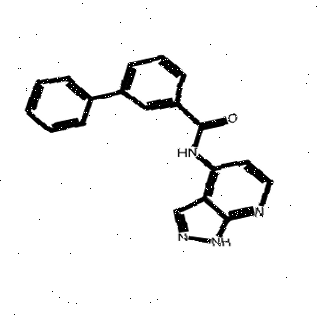 O=C(Nc1ccnc2[nH]ncc12)c1cccc(-c2ccccc2)c1